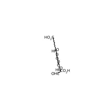 O=[C]CC[C@H](NC(=O)CCOCCOCCOCCOCCNC(=O)CCCCCCCCCCC(=O)O)C(=O)O